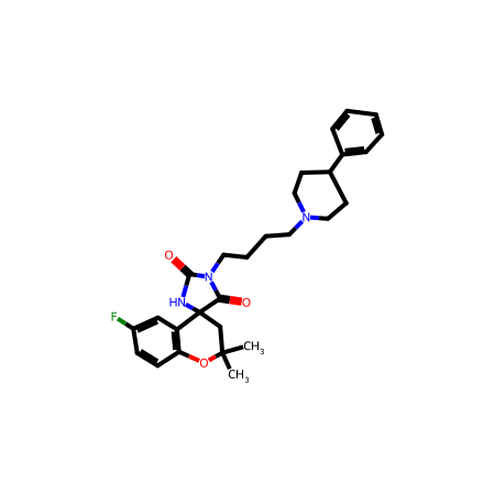 CC1(C)CC2(NC(=O)N(CCCCN3CCC(c4ccccc4)CC3)C2=O)c2cc(F)ccc2O1